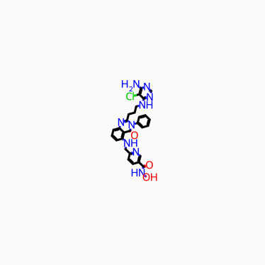 Nc1ncnc(NCCCc2nc3cccc(NCc4ccc(C(=O)NO)cn4)c3c(=O)n2-c2ccccc2)c1Cl